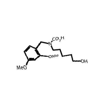 COc1ccc(CN(CCCCCO)C(=O)O)c(OC)c1